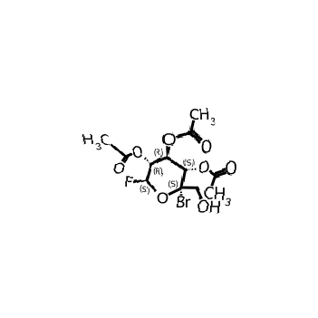 CC(=O)O[C@@H]1[C@@H](OC(C)=O)[C@H](OC(C)=O)[C@@](Br)(CO)O[C@H]1F